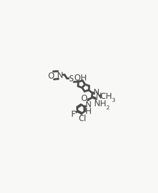 Cn1nc(C2CC3CC(O)(CSCCN4CCOCC4)CC3C2)c(C(=O)Nc2ccc(F)c(Cl)c2)c1N